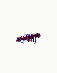 COc1cc(-c2nc3ccc(C(=O)NCCN4CCCN5CCCN=C54)cc3[nH]2)c(OC)cc1-c1nc2ccc(C(=O)NCCN3CCCN4CCCN=C43)cc2[nH]1